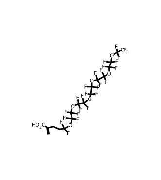 C=C(CCC(F)(F)OC(F)(F)C(F)(F)OC(F)(F)C(F)(F)OC(F)(F)C(F)(F)OC(F)(F)C(F)(F)OC(F)(F)C(F)(F)OC(F)(F)C(F)(F)F)C(=O)O